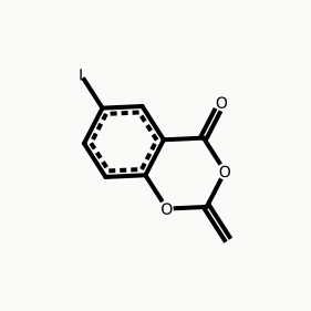 C=C1OC(=O)c2cc(I)ccc2O1